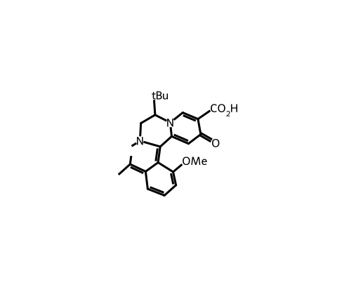 COc1cccc(=C(C)C)/c1=C1/c2cc(=O)c(C(=O)O)cn2C(C(C)(C)C)CN1C